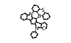 c1ccc(-n2c3ccccc3c3c4c5c(cc32)c2ccccc2n5-c2cccc3c2B4c2ccccc2S3)cc1